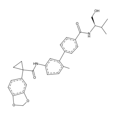 Cc1ccc(NC(=O)C2(c3ccc4c(c3)OCO4)CC2)cc1-c1ccc(C(=O)N[C@@H](CO)C(C)C)cc1